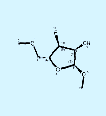 COC[C@H]1O[C@H](OC)[C@H](O)[C@@H]1F